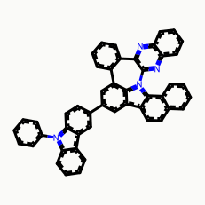 c1ccc(-n2c3ccccc3c3cc(-c4cc5c6c(c4)c4ccc7ccccc7c4n6-c4nc6ccccc6nc4-c4ccccc4-5)ccc32)cc1